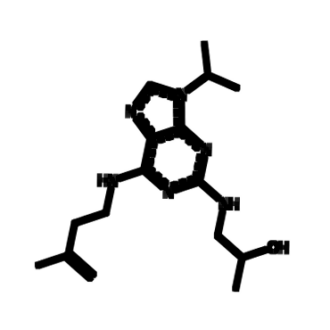 C=C(C)CCNc1nc(NCC(C)O)nc2c1ncn2C(C)C